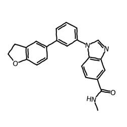 CNC(=O)c1ccc2c(c1)ncn2-c1cccc(-c2ccc3c(c2)CCO3)c1